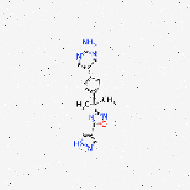 CC(C)(c1ccc(-c2cnc(N)nc2)cc1)c1noc(-c2cn[nH]c2)n1